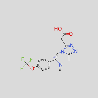 C=N/C(=C\n1c(C)nnc1CC(=O)O)c1ccc(OC(F)(F)F)cc1